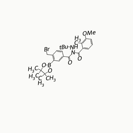 COc1cccc(C(=O)N(NC(C)(C)C)C(=O)c2ccc(CBr)c(B3OC(C)(C)C(C)(C)O3)c2)c1C